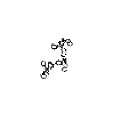 Cn1c2ccc(N(c3ccccc3)c3ccc4cc(Cn5c6ccc(-c7ccc(N(c8ccccc8)c8ccc9ccccc9c8)cc7)cc6c6c7ccccc7ccc65)ccc4c3)cc2c2c3ccccc3ccc21